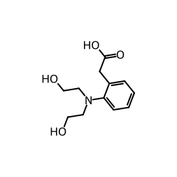 O=C(O)Cc1ccccc1N(CCO)CCO